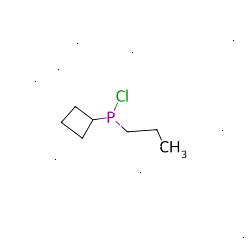 CCCP(Cl)C1CCC1